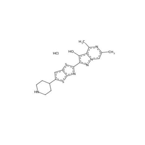 Cc1cn2nc(-c3nc4sc(C5CCNCC5)cc4s3)c(O)c2c(C)n1.Cl